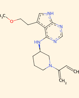 C=CC(=C)N1CCC[C@@H](Nc2ncnc3[nH]cc(CCOC)c23)C1